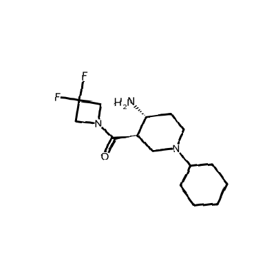 N[C@@H]1CCN(C2CCCCC2)C[C@H]1C(=O)N1CC(F)(F)C1